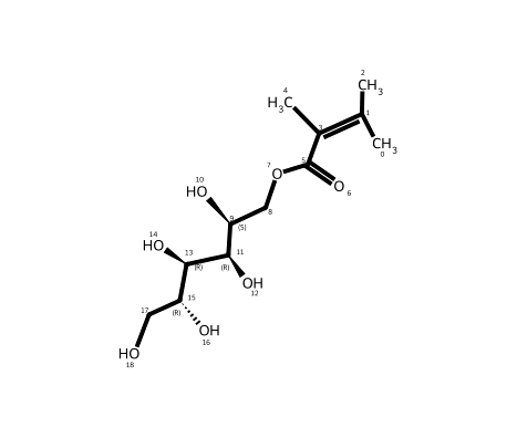 CC(C)=C(C)C(=O)OC[C@H](O)[C@@H](O)[C@H](O)[C@H](O)CO